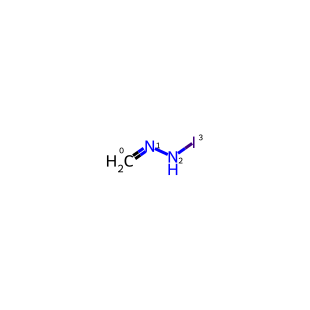 C=NNI